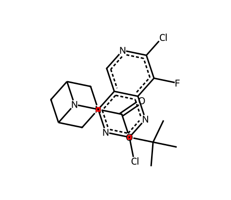 CC(C)(C)OC(=O)N1CC2CC(C1)N2c1nc(Cl)nc2c(F)c(Cl)ncc12